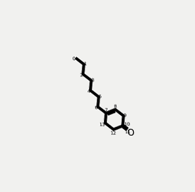 CCCCCCCC1=CCC(=O)CC1